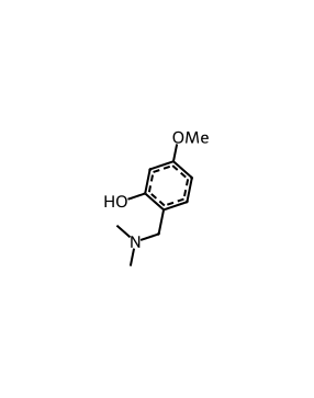 COc1ccc(CN(C)C)c(O)c1